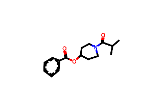 CC(C)C(=O)N1CCC(OC(=O)c2ccccc2)CC1